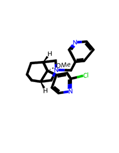 CO[C@@]1(c2ccnc(Cl)c2)[C@@H]2CCC[C@H]1CN(Cc1cccnc1)C2